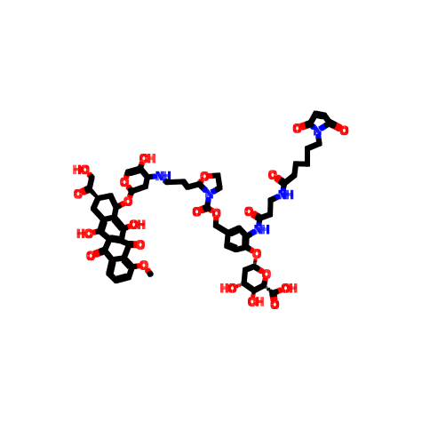 COc1cccc2c1C(=O)c1c(O)c3c(c(O)c1C2=O)C[C@@H](C(=O)CO)CC3OC1CC(NCCCC2OCCN2C(=O)OCc2ccc(O[C@H]3C[C@@H](O)[C@H](O)[C@@H](C(=O)O)O3)c(NC(=O)CCNC(=O)CCCCCN3C(=O)C=CC3=O)c2)C(O)=CO1